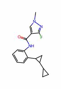 Cn1cc(C(=O)Nc2ccccc2C2CC2C2CC2)c(F)n1